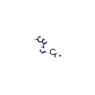 O=C1N[C@@]2(CCC[C@H](Nc3nc(-c4c[nH]c5ncc(Cl)cc45)ncc3F)C2)CO1